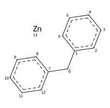 [CH](c1ccccc1)c1ccccc1.[Zn]